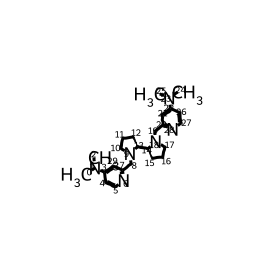 CN(C)c1ccnc(CN2CCC[C@H]2[C@@H]2CCCN2Cc2cc(N(C)C)ccn2)c1